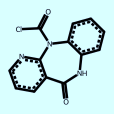 O=C1Nc2ccccc2N(C(=O)Cl)c2ncccc21